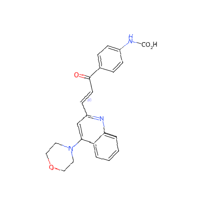 O=C(O)Nc1ccc(C(=O)/C=C/c2cc(N3CCOCC3)c3ccccc3n2)cc1